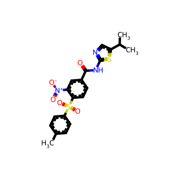 Cc1ccc(S(=O)(=O)c2ccc(C(=O)Nc3ncc(C(C)C)s3)cc2[N+](=O)[O-])cc1